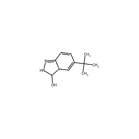 CC(C)(C)C1=CN2C(=NNC2O)C=C1